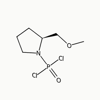 COC[C@@H]1CCCN1P(=O)(Cl)Cl